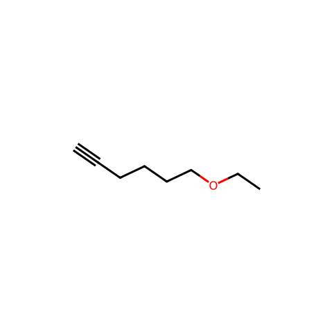 C#CCCCCOCC